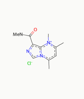 CNC(=O)c1ncn2c(C)cc(C)[n+](C)c12.[Cl-]